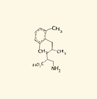 Cc1cccc(C)c1CC(C)CC(CN)C(=O)O